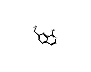 Nc1nccc2ccc(CBr)cc12